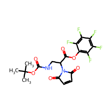 CC(C)(C)OC(=O)NCC(C(=O)Oc1c(F)c(F)c(F)c(F)c1F)N1C(=O)C=CC1=O